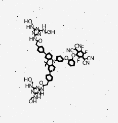 CC1(C)c2cc(-c3ccc(CC(=O)Nc4nc(NCO)nc(NCO)n4)cc3)ccc2N(c2ccc(Oc3ccccc3Oc3c(F)c(=C(C#N)C#N)c(F)c(F)c3=C(C#N)C#N)cc2)c2ccc(-c3ccc(CC(=O)Nc4nc(NCO)nc(NCO)n4)cc3)cc21